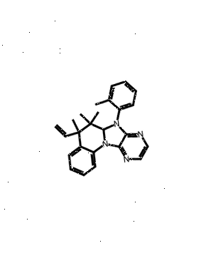 C=CC1(C)c2ccccc2N2c3nccnc3N(c3ccccc3C)C2C1(C)C